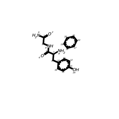 NC(=O)CNC(=O)C(N)Cc1ccc(O)cc1.c1ccccc1